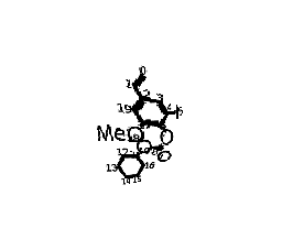 C=Cc1cc(I)c(OC(=O)OC2CCCCC2)c(OC)c1